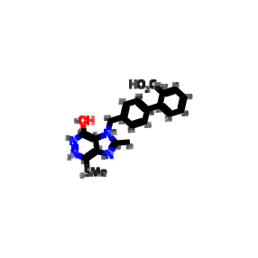 CSc1nnc(O)c2c1nc(C)n2Cc1ccc(-c2ccccc2C(=O)O)cc1